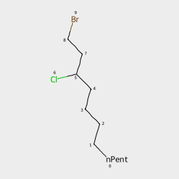 CCCCCCCCCC(Cl)CCBr